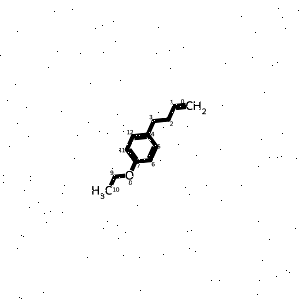 C=CCCc1ccc(OCC)cc1